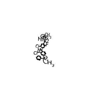 CC(Oc1ccc2c(c1)c(Cl)nn2-c1cc(F)c(C(=O)NS(C)(=O)=O)cc1Cl)c1ccccc1